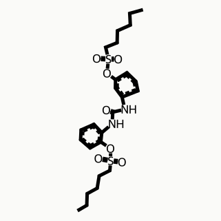 CCCCCCS(=O)(=O)Oc1cccc(NC(=O)Nc2ccccc2OS(=O)(=O)CCCCCC)c1